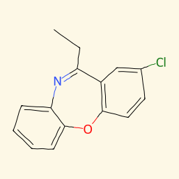 CCC1=Nc2ccccc2Oc2ccc(Cl)cc21